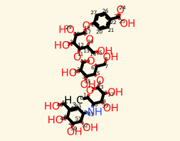 CC1OC(OC2C(CO)OC(OC3C(CO)OC(Oc4ccc(C(=O)O)cc4)C(O)C3O)C(O)C2O)C(O)C(O)C1NC1C=C(CO)C(O)C(O)C1O